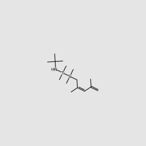 C=C(C)C=C(C)C[Si](C)(C)[Ti]([CH3])([CH3])[NH]C(C)(C)C